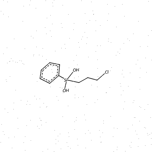 O[Si](O)(CCCCl)c1ccccc1